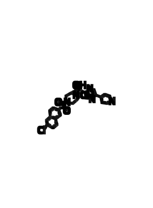 O=C(c1cnc(-c2ccncc2)cn1)N1C2CN(S(=O)(=O)c3ccc4cc(Cl)ccc4c3)CC1C(O)C2O